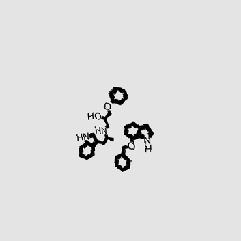 CC(Cc1c[nH]c2ccccc12)NCC(O)COc1ccccc1.c1ccc(COc2cccc3cc[nH]c23)cc1